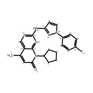 Cc1cc(=O)n(C2CCCC2)c2nc(Nc3ccn(-c4ccc(F)cc4)n3)ncc12